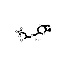 CC(COCC1COc2cscc2O1)CS(=O)(=O)[O-].[Na+]